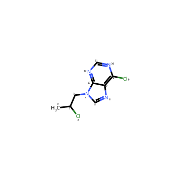 CC(Cl)Cn1cnc2c(Cl)ncnc21